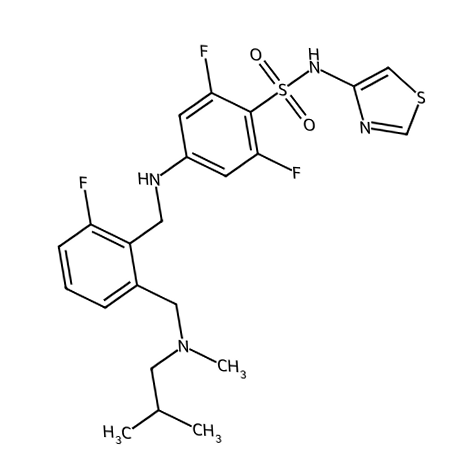 CC(C)CN(C)Cc1cccc(F)c1CNc1cc(F)c(S(=O)(=O)Nc2cscn2)c(F)c1